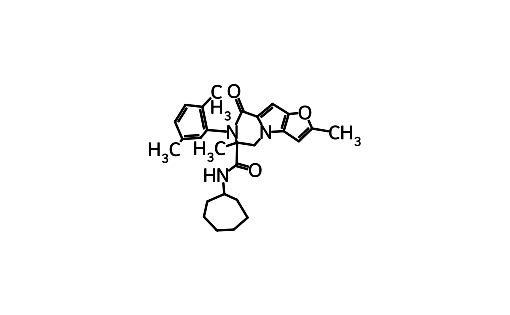 Cc1ccc(C)c(N2C(=O)c3cc4oc(C)cc4n3CC2(C)C(=O)NC2CCCCCC2)c1